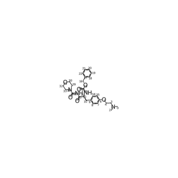 CN(C)CCOc1ccc(C[C@H](NC(=O)OCc2ccccc2)C(=O)NC(=O)N2CCOCC2)cc1